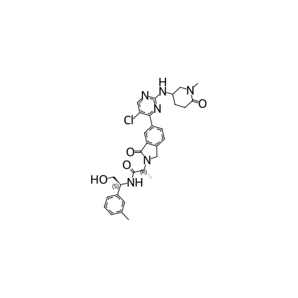 Cc1cccc([C@@H](CO)NC(=O)[C@@H](C)N2Cc3ccc(-c4nc(NC5CCC(=O)N(C)C5)ncc4Cl)cc3C2=O)c1